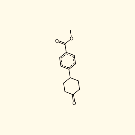 COC(=O)c1ccc(C2CCC(=O)CC2)cc1